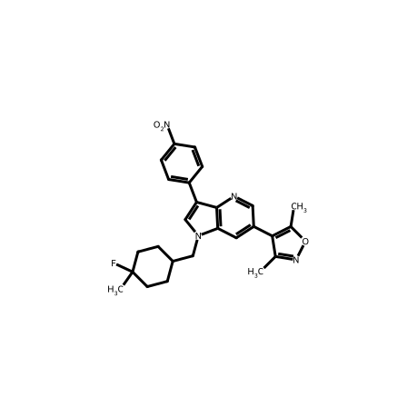 Cc1noc(C)c1-c1cnc2c(-c3ccc([N+](=O)[O-])cc3)cn(CC3CCC(C)(F)CC3)c2c1